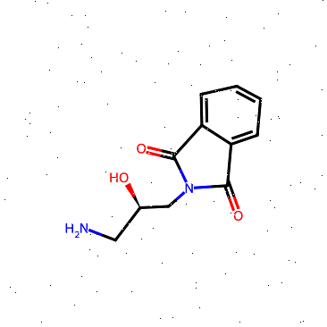 NC[C@@H](O)CN1C(=O)c2ccccc2C1=O